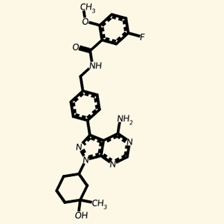 COc1ccc(F)cc1C(=O)NCc1ccc(-c2nn(C3CCCC(C)(O)C3)c3ncnc(N)c23)cc1